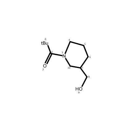 CC(C)(C)C(=O)N1CCCC(CO)C1